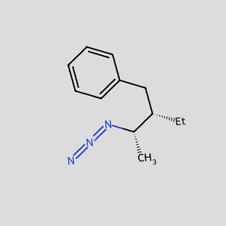 CC[C@@H](Cc1ccccc1)[C@H](C)N=[N+]=[N-]